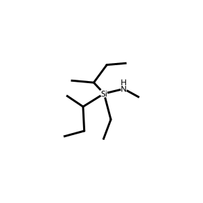 CCC(C)[Si](CC)(NC)C(C)CC